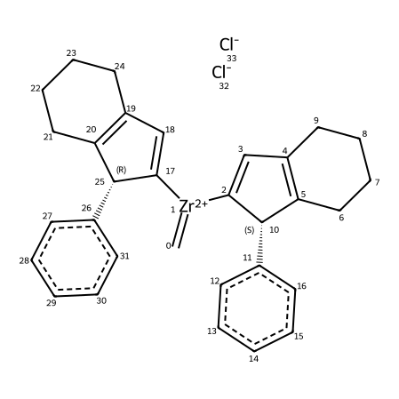 [CH2]=[Zr+2]([C]1=CC2=C(CCCC2)[C@@H]1c1ccccc1)[C]1=CC2=C(CCCC2)[C@H]1c1ccccc1.[Cl-].[Cl-]